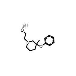 CC1(Oc2ccccc2)CCCN(CCOS)C1